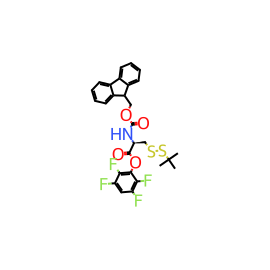 CC(C)(C)SSC[C@H](NC(=O)OCC1c2ccccc2-c2ccccc21)C(=O)Oc1c(F)c(F)cc(F)c1F